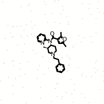 Cc1cc(C(=O)N(c2ccccn2)[C@@H]2CCN(CCc3ccccc3)C[C@H]2C)c(C)o1